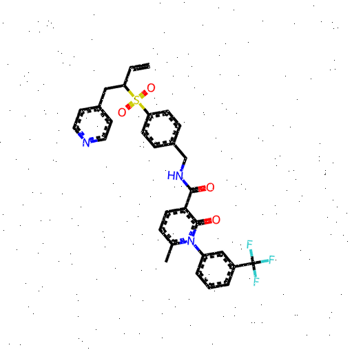 C=CC(Cc1ccncc1)S(=O)(=O)c1ccc(CNC(=O)c2ccc(C)n(-c3cccc(C(F)(F)F)c3)c2=O)cc1